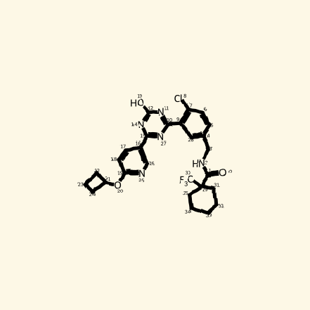 O=C(NCc1ccc(Cl)c(-c2nc(O)nc(-c3ccc(OC4CCC4)nc3)n2)c1)C1(C(F)(F)F)CCCCC1